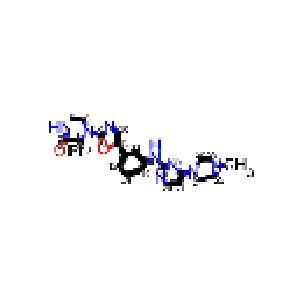 CC(C)C1C(=O)NCCN1c1ncc(-c2cccc(Nc3nccc(N4CCN(C)CC4)n3)c2)o1